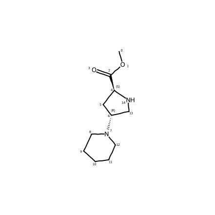 COC(=O)[C@@H]1C[C@@H](N2CCCCC2)CN1